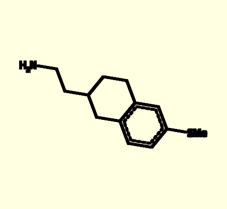 CSc1ccc2c(c1)CCC(CCN)C2